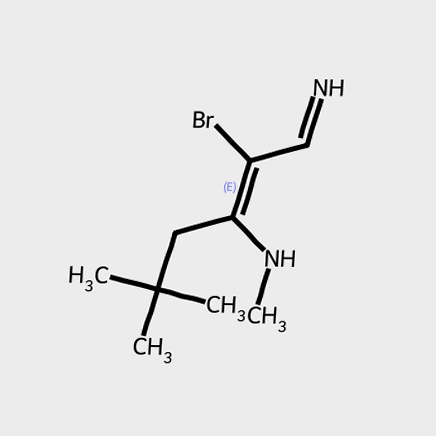 CN/C(CC(C)(C)C)=C(/Br)C=N